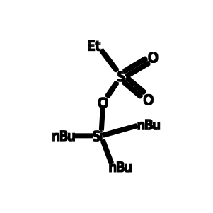 CCCC[Si](CCCC)(CCCC)OS(=O)(=O)CC